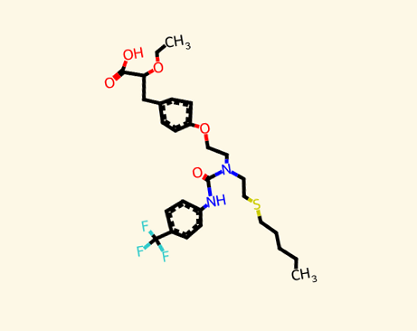 CCCCCSCCN(CCOc1ccc(CC(OCC)C(=O)O)cc1)C(=O)Nc1ccc(C(F)(F)F)cc1